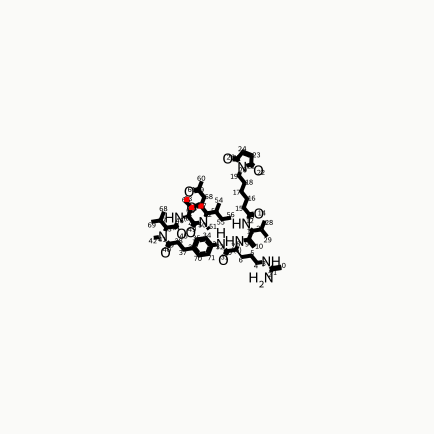 C=C(N)NCCC[C@H](NC(=C)C(NC(=O)CCCCCN1C(=O)C=CC1=O)C(C)C)C(=O)Nc1ccc(CCC(=O)N(C)C(C(=O)N[C@H](C(=O)N(C)C(C(C)CC)C(CC(C)=O)OC)C(C)C)C(C)C)cc1